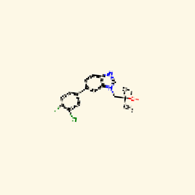 CC(C)(O)Cn1cnc2ccc(-c3ccc(F)c(Cl)c3)cc21